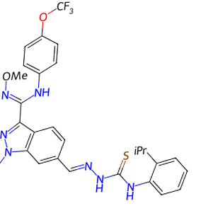 CO/N=C(\Nc1ccc(OC(F)(F)F)cc1)c1nn(C)c2cc(/C=N/NC(=S)Nc3ccccc3C(C)C)ccc12